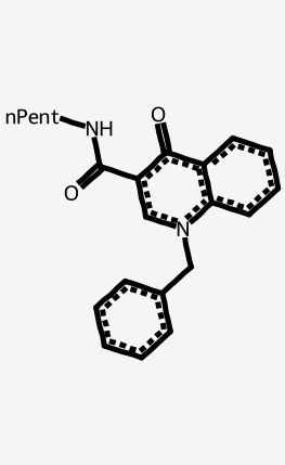 CCCCCNC(=O)c1cn(Cc2ccccc2)c2ccccc2c1=O